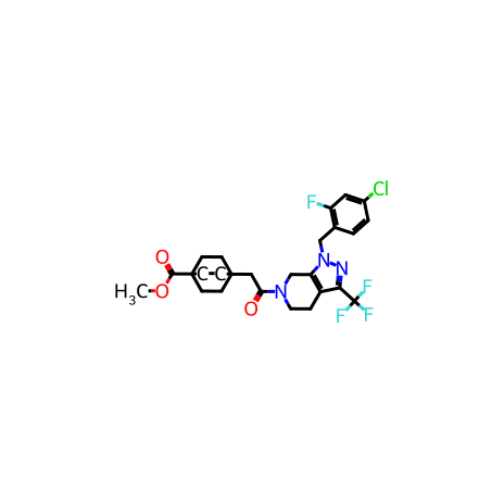 COC(=O)C12CCC(CC(=O)N3CCc4c(C(F)(F)F)nn(Cc5ccc(Cl)cc5F)c4C3)(CC1)CC2